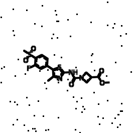 COC(=O)C1CN(C(=O)Nc2nc(C)c(-c3ccc(S(C)(=O)=O)c(F)c3)s2)C1